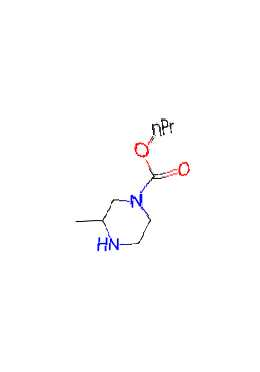 CCCOC(=O)N1CCNC(C)C1